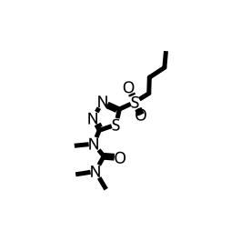 CCCCS(=O)(=O)c1nnc(N(C)C(=O)N(C)C)s1